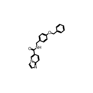 O=C(NCc1ccc(OCc2ccccc2)cc1)c1ccc2nccn2c1